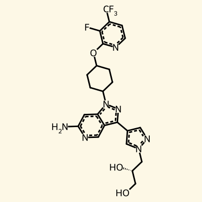 Nc1cc2c(cn1)c(-c1cnn(C[C@@H](O)CO)c1)nn2C1CCC(Oc2nccc(C(F)(F)F)c2F)CC1